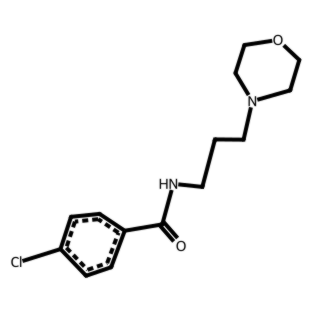 O=C(NCCCN1CCOCC1)c1ccc(Cl)cc1